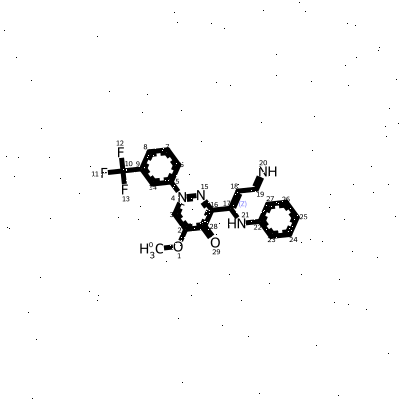 COc1cn(-c2cccc(C(F)(F)F)c2)nc(/C(=C/C=N)Nc2ccccc2)c1=O